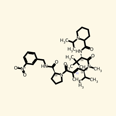 C/C(=C\[C@H](C(C)C)N(C)C(=O)[C@@H](NC(=O)C1CCCCN1C(C)C)C(C)(C)C)C(=O)N1CCC[C@H]1C(=O)NCc1cccc([N+](=O)[O-])c1